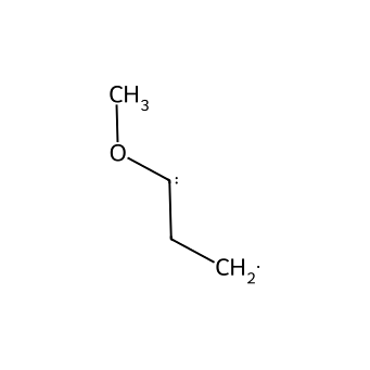 [CH2]C[C]OC